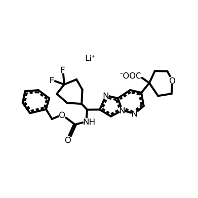 O=C(NC(c1cn2ncc(C3(C(=O)[O-])CCOCC3)cc2n1)C1CCC(F)(F)CC1)OCc1ccccc1.[Li+]